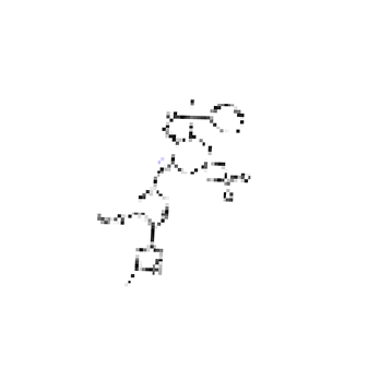 COc1cc(/C=C2\CC3(CN4C2=NOC4(C)c2ccc(I)cc2)CS(=O)(=O)C3)ccc1-n1cnc(C)c1